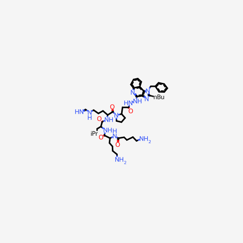 CCCCc1nc2c(NNC(=O)CC3CCCN3C(=O)C(CCCNC=N)NC(=O)C(CC(C)C)NC(=O)C(CCCCN)NC(=O)CCCCN)nc3ccccc3c2n1Cc1ccccc1